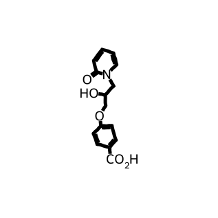 O=C(O)c1ccc(OCC(O)Cn2ccccc2=O)cc1